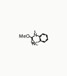 COC(=O)N(C)c1ccccc1C#N